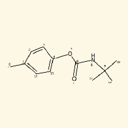 [CH2]c1ccc(OC(=O)NC(C)(C)C)cc1